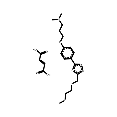 COCCSCc1nnc(-c2ccc(OCCCN(C)C)cc2)o1.O=C(O)C=CC(=O)O